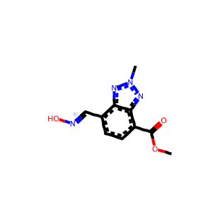 COC(=O)c1ccc(/C=N/O)c2nn(C)nc12